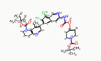 Cc1c(-c2cc3cc(NC(=O)OC4CCN(C(=O)OC(C)(C)C)CC4)ncc3c(Cl)c2F)cnc2c1N(C(=O)OC(C)(C)C)CCC2